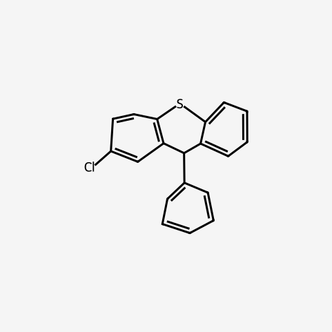 Clc1ccc2c(c1)C(c1ccccc1)c1ccccc1S2